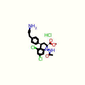 COC(=O)[C@H]1C[C@H](c2ccc(CC#CN)cc2)c2c(Cl)cc(Cl)cc2N1NC(C)=O.Cl